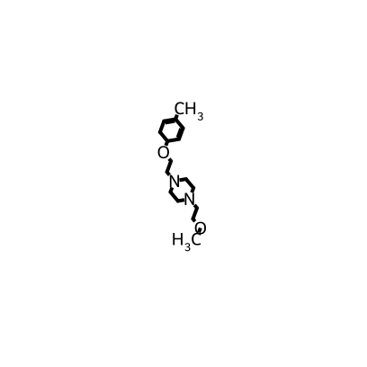 COCCN1CCN(CCOC2C=CC(C)=CC2)CC1